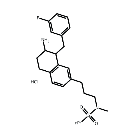 CCCS(=O)(=O)N(C)CCCc1ccc2c(c1)C(Cc1cccc(F)c1)C(N)CC2.Cl